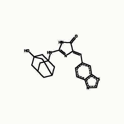 O=C1NC(NC23CC4CC(CC(O)(C4)C2)C3)=N/C1=C\c1ccc2ncsc2c1